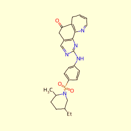 CCC1CCC(C)N(S(=O)(=O)c2ccc(Nc3ncc4c(n3)C3=C(CC=CC=N3)C(=O)C4)cc2)C1